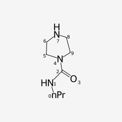 CCCNC(=O)N1CCNCC1